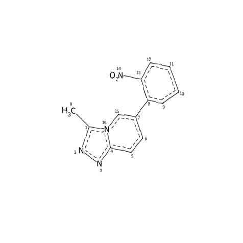 Cc1nnc2ccc(-c3ccccc3[N+](=O)[O-])cn12